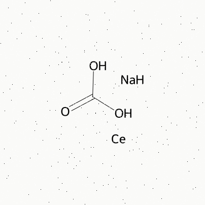 O=C(O)O.[Ce].[NaH]